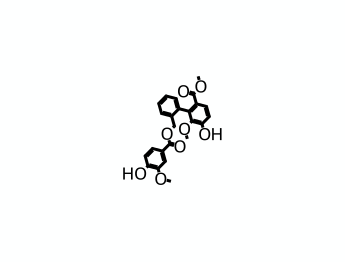 COC(=O)c1ccc(O)c(OC)c1-c1ccccc1COC(=O)c1ccc(O)c(OC)c1